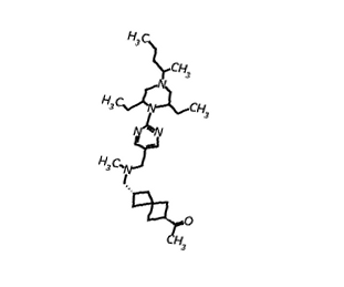 CCCC(C)N1CC(CC)N(c2ncc(CN(C)C[C@H]3CC4(C3)C[C@H](C(C)=O)C4)cn2)C(CC)C1